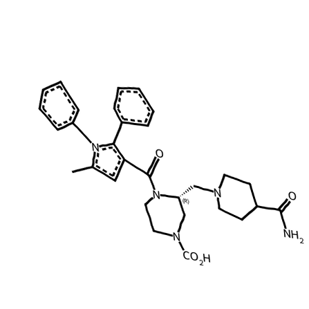 Cc1cc(C(=O)N2CCN(C(=O)O)C[C@H]2CN2CCC(C(N)=O)CC2)c(-c2ccccc2)n1-c1ccccc1